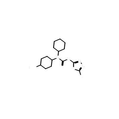 CC1CCC(N(C(=O)Nc2nnc(S(=O)(=O)O)s2)C2CCCCC2)CC1